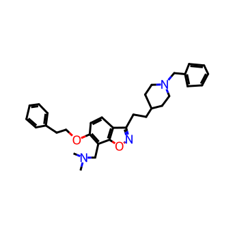 CN(C)Cc1c(OCCc2ccccc2)ccc2c(CCC3CCN(Cc4ccccc4)CC3)noc12